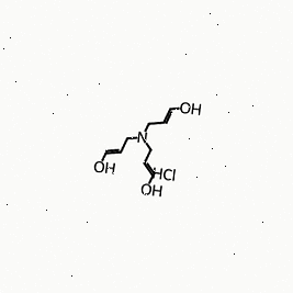 Cl.OC=CCN(CC=CO)CC=CO